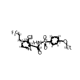 CCOc1ccc(S(=O)(=O)NC(=O)c2ncn(CCC(F)(F)F)c2Cl)cc1